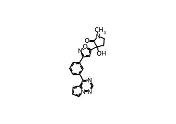 CN1CCC(O)(c2cc(-c3cccc(-c4ncnn5cccc45)c3)no2)C1=O